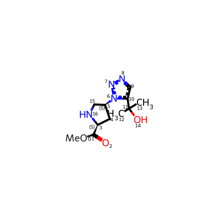 COC(=O)[C@@H]1C[C@H](n2nncc2C(C)(C)O)CN1